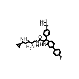 Cl.Cl.NC(CC[C@H](N)CNC(=O)c1[nH]c2cc(-c3ccc(F)cc3)ccc2c1-c1ccc(F)cc1)C1CC1